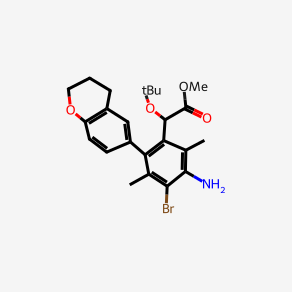 COC(=O)C(OC(C)(C)C)c1c(C)c(N)c(Br)c(C)c1-c1ccc2c(c1)CCCO2